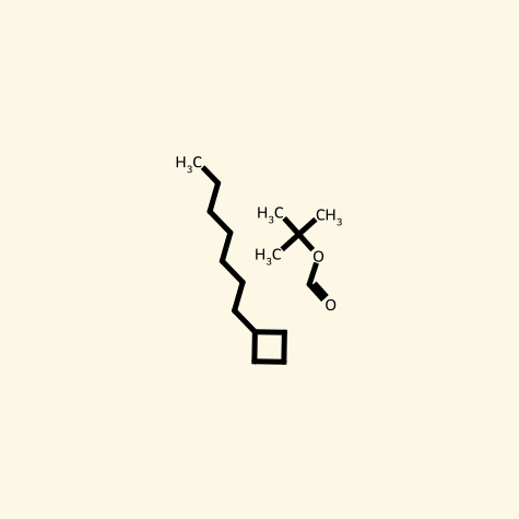 CC(C)(C)OC=O.CCCCCCCC1CCC1